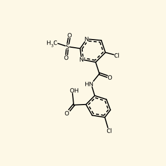 CS(=O)(=O)c1ncc(Cl)c(C(=O)Nc2ccc(Cl)cc2C(=O)O)n1